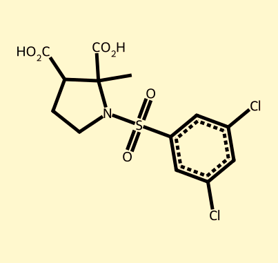 CC1(C(=O)O)C(C(=O)O)CCN1S(=O)(=O)c1cc(Cl)cc(Cl)c1